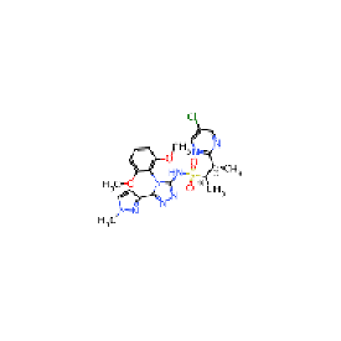 COc1cccc(OC)c1-n1c(NS(=O)(=O)[C@H](C)[C@@H](C)c2ncc(Cl)cn2)nnc1-c1ccn(C)n1